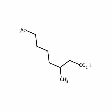 CC(=O)CCCCC(C)CC(=O)O